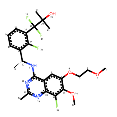 COCCOc1cc2c(N[C@H](C)c3cccc(C(F)(F)C(C)(C)O)c3F)nc(C)nc2c(F)c1OC